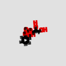 O=P(O)(OCC(O)CO)Oc1ccccc1